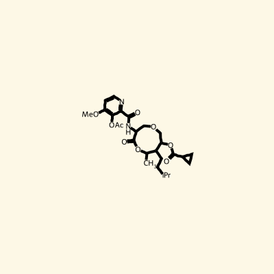 COc1ccnc(C(=O)NC2COCC(OC(=O)C3CC3)C(CCC(C)C)C(C)OC2=O)c1OC(C)=O